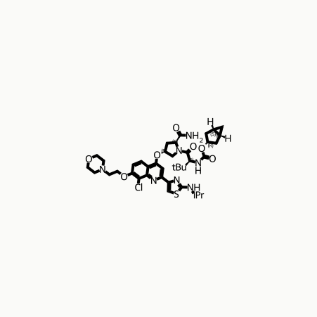 CC(C)Nc1nc(-c2cc(O[C@@H]3C[C@@H](C(N)=O)N(C(=O)[C@@H](NC(=O)O[C@@H]4C[C@@H]5C[C@@H]5C4)C(C)(C)C)C3)c3ccc(OCCN4CCOCC4)c(Cl)c3n2)cs1